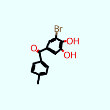 Cc1ccc(C(=O)c2cc(O)c(O)c(Br)c2)cc1